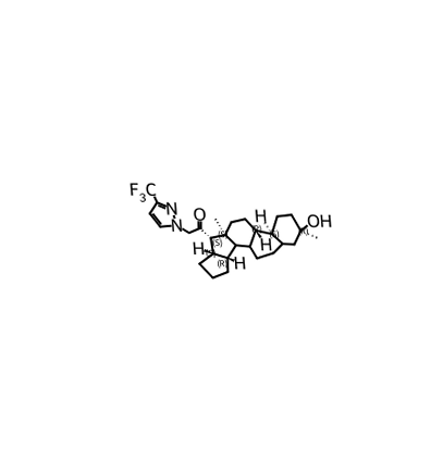 C[C@@]1(O)CC[C@H]2C(CCC3C4[C@@H]5CCC[C@@H]5[C@H](C(=O)Cn5ccc(C(F)(F)F)n5)[C@@]4(C)CC[C@@H]32)C1